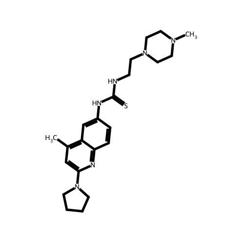 Cc1cc(N2CCCC2)nc2ccc(NC(=S)NCCN3CCN(C)CC3)cc12